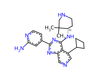 CC1(C)CNCC[C@@H]1Nc1nc(-c2ccnc(N)c2)nc2cncc(C3CCC3)c12